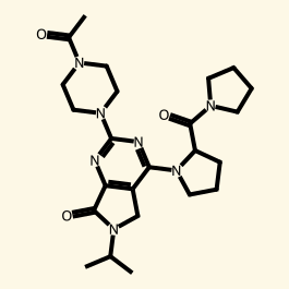 CC(=O)N1CCN(c2nc3c(c(N4CCCC4C(=O)N4CCCC4)n2)CN(C(C)C)C3=O)CC1